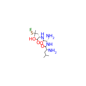 CC(C)C[C@H](N)C(=O)N[C@@H](CN)C(=O)N[C@@H](CC(C)(C)SF)C(=O)O